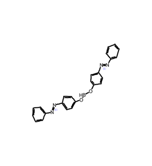 B(Oc1ccc(/N=N/c2ccccc2)cc1)Oc1ccc(/N=N/c2ccccc2)cc1